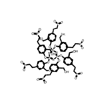 O=P(=O)CCc1ccc(OP2(Oc3ccc(CCP(=O)=O)cc3CO)=NP(Oc3ccc(CCP(=O)=O)cc3CO)(Oc3ccc(CCP(=O)=O)cc3CO)=NP(Oc3ccc(CCP(=O)=O)cc3CO)(Oc3ccc(CCP(=O)=O)cc3CO)=N2)c(CO)c1